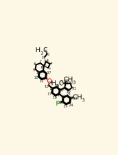 CCC[C@@H]1CC[C@@]12CCCc1ccc(OCc3ccc(-c4cc(C)ccc4F)c(C4=CCCC4(C)C)c3)cc12